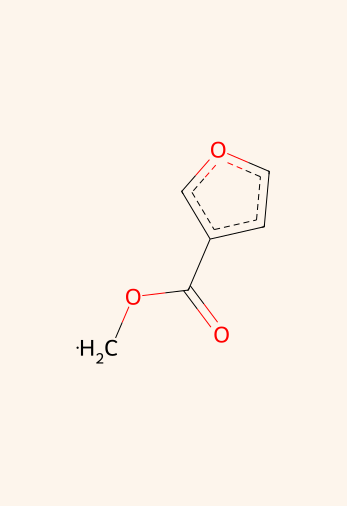 [CH2]OC(=O)c1ccoc1